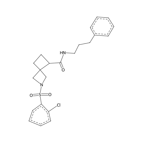 O=C(NCCCc1ccccc1)C1CCC12CN(S(=O)(=O)c1ccccc1Cl)C2